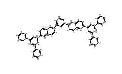 c1ccc(-c2cc(-c3ccc4cc(-c5cccc(-c6ccc7cc(-c8cc(-c9ccccc9)nc(-c9ccccc9)n8)ccc7c6)c5)ccc4c3)cc(-c3ccccc3)n2)cc1